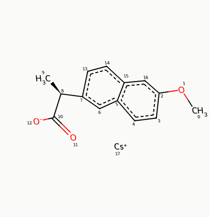 COc1ccc2cc([C@H](C)C(=O)[O-])ccc2c1.[Cs+]